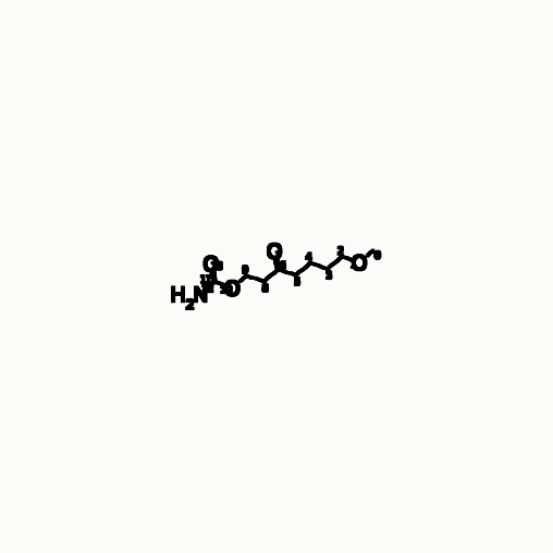 COCCCCC(=O)CCOC(N)=O